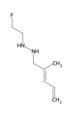 C=C/C=C(\C)CNNCCF